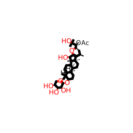 CC(=O)O[C@@H]([C@H]1C[C@@H](C)C2=C(O1)[C@H](O)[C@@]1(C)[C@@H]3CC[C@H]4C(C)(C)[C@@H](O[C@@H]5OC[C@H](O)[C@H](O)[C@H]5O)CC[C@]4(C)[C@]3(C)CC[C@]21C)C(C)(C)O